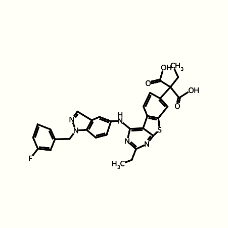 CCc1nc(Nc2ccc3c(cnn3Cc3cccc(F)c3)c2)c2c(n1)sc1cc(C(CC)(C(=O)O)C(=O)O)ccc12